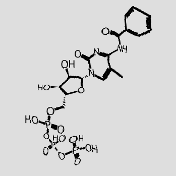 Cc1cn([C@@H]2O[C@H](COP(=O)(O)OP(=O)(O)OP(=O)(O)O)[C@@H](O)[C@H]2O)c(=O)nc1NC(=O)c1ccccc1